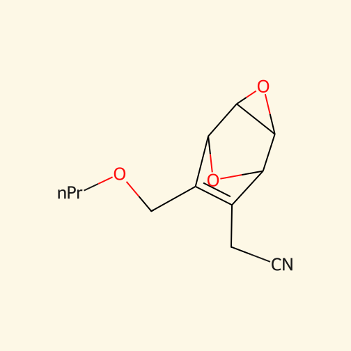 CCCOCC1=C(CC#N)C2OC1C1OC21